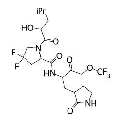 CC(C)CC(O)C(=O)N1CC(F)(F)CC1C(=O)NC(CC1CCNC1=O)C(=O)COC(F)(F)F